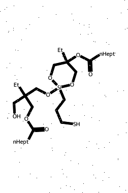 CCCCCCCC(=O)OCC(CC)(CO)CO[Si]1(CCCS)OCC(CC)(OC(=O)CCCCCCC)CO1